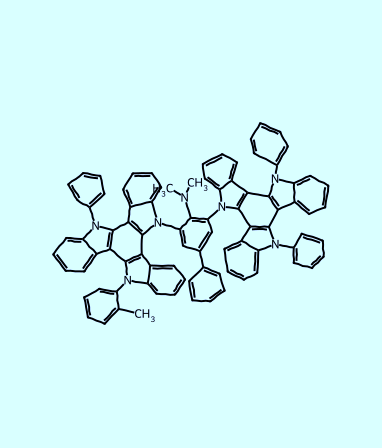 Cc1ccccc1-n1c2ccccc2c2c3c(c4ccccc4n3-c3cc(-c4ccccc4)cc(-n4c5ccccc5c5c6c(c7ccccc7n6-c6ccccc6)c6c(c7ccccc7n6-c6ccccc6)c54)c3N(C)C)c3c(c4ccccc4n3-c3ccccc3)c21